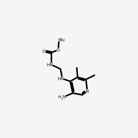 Cc1ncc(N)c(NCNC(=O)OC(C)(C)C)c1C